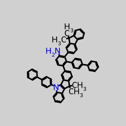 CC1(C)c2ccccc2-c2ccc(-c3c(N)ccc(-c4ccc5c(c4)-c4c(c6ccccc6n4-c4ccc(-c6ccccc6)cc4)C5(C)C)c3-c3ccc(-c4ccccc4)cc3)cc21